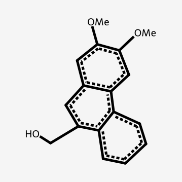 COc1cc2cc(CO)c3ccccc3c2cc1OC